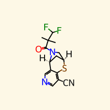 CC(C)(C(=O)N1C[C@@H]2C[C@H]1c1cncc(C#N)c1S2)C(F)F